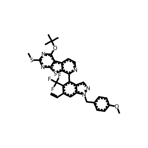 C=Cc1cc2c(cnn2Cc2ccc(OC)cc2)c(-c2nccc3c2sc2nc(SC)nc(OC(C)(C)C)c23)c1C(F)(F)F